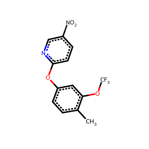 Cc1ccc(Oc2ccc([N+](=O)[O-])cn2)cc1OC(F)(F)F